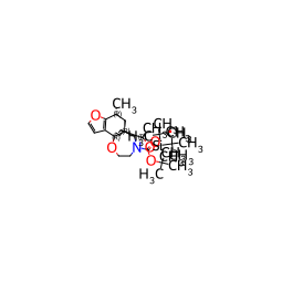 C[C@@H]1C[C@@]23CN(C(=O)OC(C)(C)C)CCO[C@@]2(CC=C3[C@@H](C)O[Si](C)(C(C)(C)C)C(C)(C)C)c2ccoc21